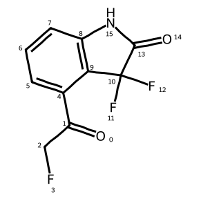 O=C(CF)c1cccc2c1C(F)(F)C(=O)N2